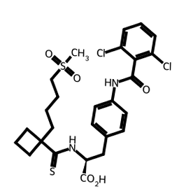 CS(=O)(=O)CCCCC1(C(=S)N[C@@H](Cc2ccc(NC(=O)c3c(Cl)cccc3Cl)cc2)C(=O)O)CCC1